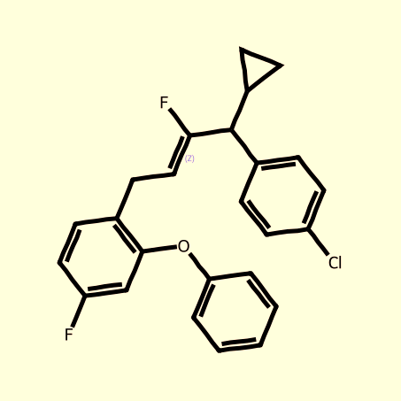 F/C(=C\Cc1ccc(F)cc1Oc1ccccc1)C(c1ccc(Cl)cc1)C1CC1